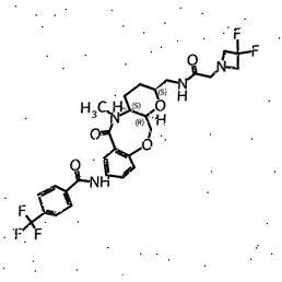 CN1C(=O)c2cc(NC(=O)c3ccc(C(F)(F)F)cc3)ccc2OC[C@@H]2O[C@H](CNC(=O)CN3CC(F)(F)C3)CC[C@@H]21